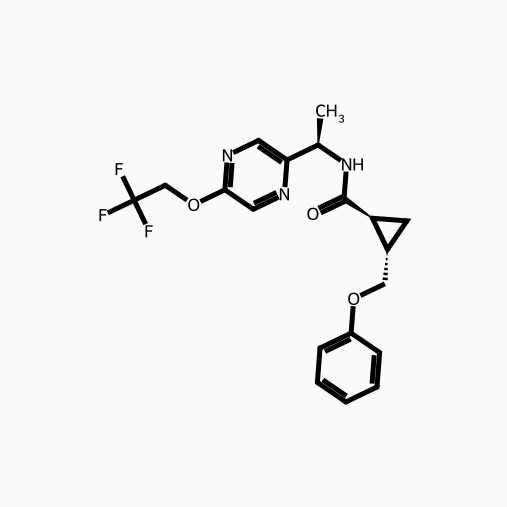 C[C@@H](NC(=O)[C@H]1C[C@@H]1COc1ccccc1)c1cnc(OCC(F)(F)F)cn1